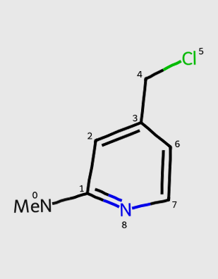 CNc1cc(CCl)ccn1